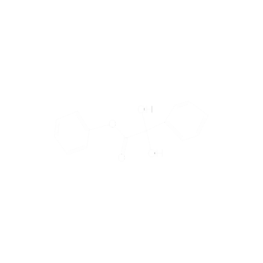 O=C(Oc1ccccc1)C(O)(O)c1ccccc1